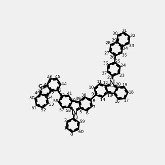 c1ccc(-n2c3ccc(-c4ccc5c(c4)c4ccccc4n5-c4ccc(-c5ccc6ccccc6c5)cc4)cc3c3cc(-c4cccc5sc6ccccc6c45)ccc32)cc1